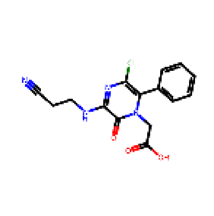 N#CCCNc1nc(Cl)c(-c2ccccc2)n(CC(=O)O)c1=O